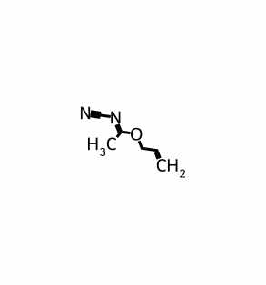 C=CCO/C(C)=N/C#N